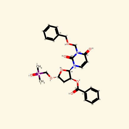 CP(C)(=O)CO[C@H]1C[C@H](OC(=O)c2ccccc2)[C@H](n2ccc(=O)n(COCc3ccccc3)c2=O)O1